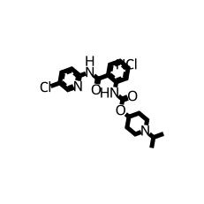 CC(C)N1CCC(OC(=O)Nc2ccccc2C(=O)Nc2ccc(Cl)cn2)CC1.Cl